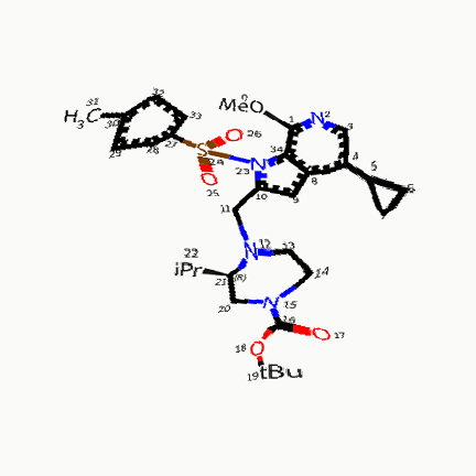 COc1ncc(C2CC2)c2cc(CN3CCN(C(=O)OC(C)(C)C)C[C@H]3C(C)C)n(S(=O)(=O)c3ccc(C)cc3)c12